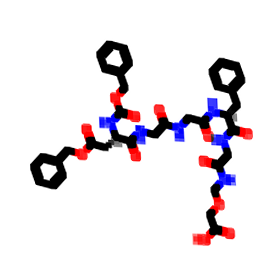 O=C(O)COCNC(=O)CNC(=O)[C@H](Cc1ccccc1)NC(=O)CNC(=O)CNC(=O)[C@H](CC(=O)OCc1ccccc1)NC(=O)OCc1ccccc1